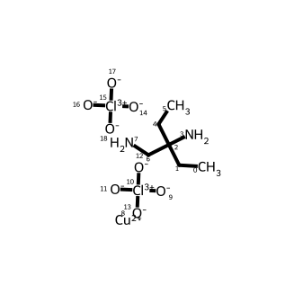 CCC(N)(CC)CN.[Cu+2].[O-][Cl+3]([O-])([O-])[O-].[O-][Cl+3]([O-])([O-])[O-]